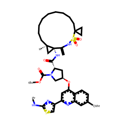 C=C1NS(=O)(=O)C2(CCCCCCCCC[C@@H]3C[C@]13NC(=O)[C@@H]1C[C@@H](Oc3cc(-c4csc(NC(C)C)n4)nc4cc(OC)ccc34)CN1C(=O)OC(C)(C)C)CC2